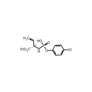 C=C[C@H](NP(=O)(O)Oc1ccc(Cl)cc1)C(=O)OCC